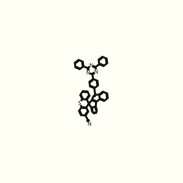 N#Cc1ccc2c(c1)C1(c3ccccc3S2)c2ccccc2-c2c1cc(-c1ccc(-c3nc(-c4ccccc4)nc(-c4ccccc4)n3)cc1)c1ccccc21